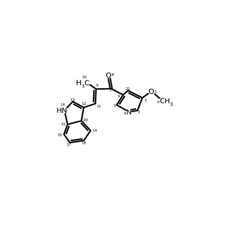 COc1cncc(C(=O)/C(C)=C/c2c[nH]c3ccccc23)c1